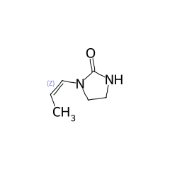 C/C=C\N1CCNC1=O